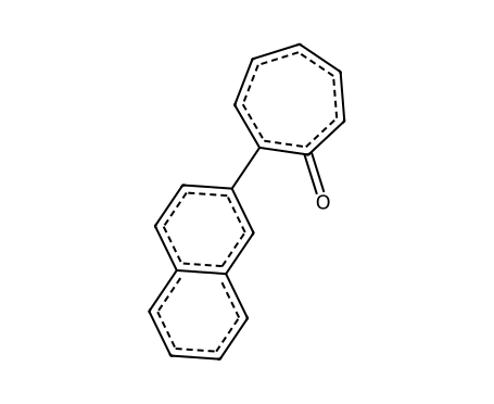 O=c1cccccc1-c1ccc2ccccc2c1